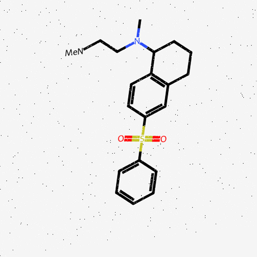 CNCCN(C)C1CCCc2cc(S(=O)(=O)c3ccccc3)ccc21